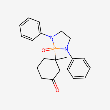 CC1(P2(=O)N(c3ccccc3)CCN2c2ccccc2)CCCC(=O)C1